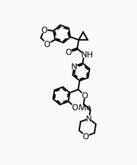 COc1ccccc1C(OCCN1CCOCC1)c1ccc(NC(=O)C2(c3ccc4c(c3)OCO4)CC2)nc1